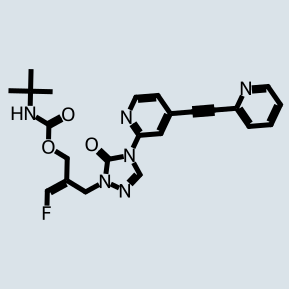 CC(C)(C)NC(=O)OC/C(=C/F)Cn1ncn(-c2cc(C#Cc3ccccn3)ccn2)c1=O